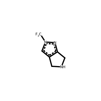 FC(F)(F)n1cc2c(n1)CNC2